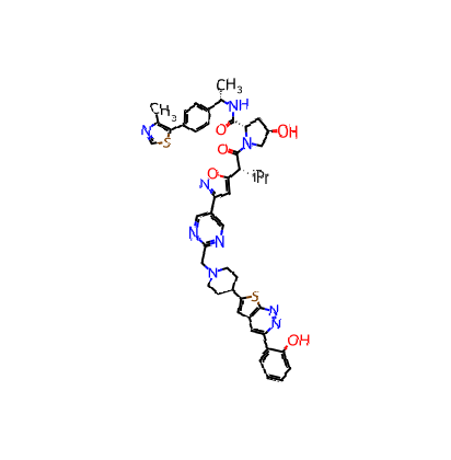 Cc1ncsc1-c1ccc([C@H](C)NC(=O)[C@@H]2C[C@@H](O)CN2C(=O)[C@@H](c2cc(-c3cnc(CN4CCC(c5cc6cc(-c7ccccc7O)nnc6s5)CC4)nc3)no2)C(C)C)cc1